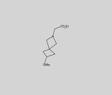 CCOC(=O)CN1CC2(CC(OC)C2)C1